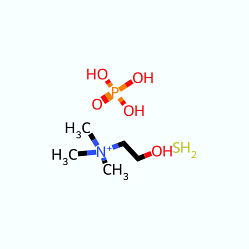 C[N+](C)(C)CCO.O=P(O)(O)O.S